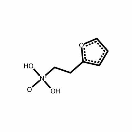 [O-][N+](O)(O)CCc1ccco1